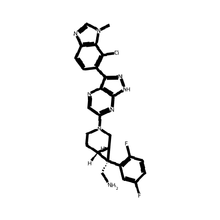 Cn1cnc2ccc(-c3n[nH]c4nc(N5CC[C@@H]6[C@H](C5)[C@@]6(CN)c5cc(F)ccc5F)cnc34)c(Cl)c21